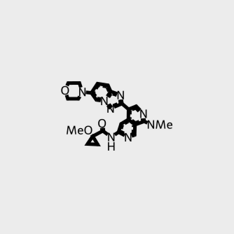 CNc1ncc(-c2nc3ccc(N4CCOCC4)cn3n2)c2cc(NC(=O)C3(OC)CC3)ncc12